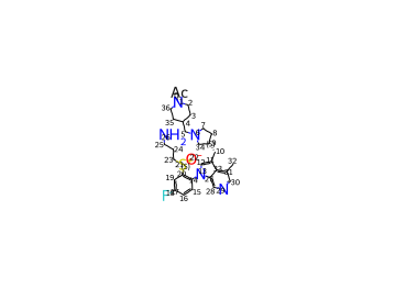 CC(=O)N1CCC(CN2CC[C@H](Cc3cn(-c4ccc(F)cc4[S@+]([O-])CCCN)c4cncc(C)c34)C2)CC1